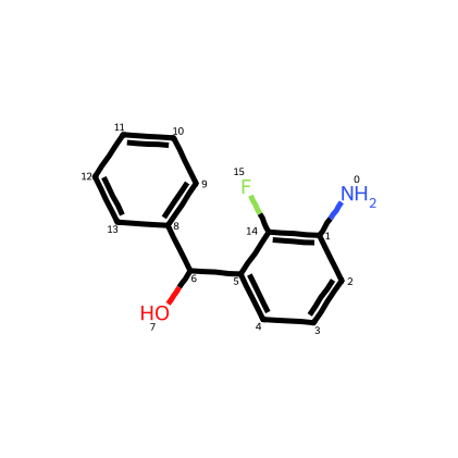 Nc1cccc(C(O)c2ccccc2)c1F